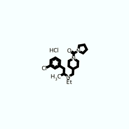 CCN(CC1CCN(C(=O)N2CCCC2)CC1)C(C)Cc1cccc(Cl)c1.Cl